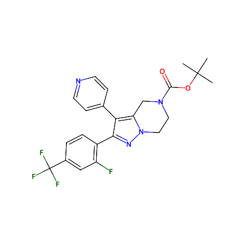 CC(C)(C)OC(=O)N1CCn2nc(-c3ccc(C(F)(F)F)cc3F)c(-c3ccncc3)c2C1